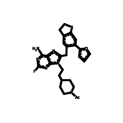 CC(=O)N1CCC(CCn2c(Cc3cc4c(cc3-c3ccco3)SCC4)nc3c(N)nc(F)nc32)CC1